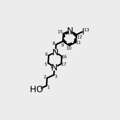 OCCCN1CCN(Cc2ccc(I)nc2)CC1